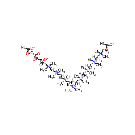 CC[N+](C)(C)C.CC[N+](C)(C)C.CC[N+](C)(C)C.CC[N+](C)(C)C.CC[N+](C)(C)C.CC[N+](C)(C)C.CC[N+](C)(C)C.CC[N+](C)(C)C.N#CB([O-])[O-].N#CB([O-])[O-].N#CB([O-])[O-].N#CB([O-])[O-]